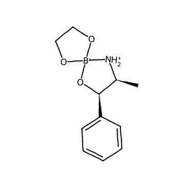 C[C@@H]1[NH2+][B-]2(OCCO2)O[C@@H]1c1ccccc1